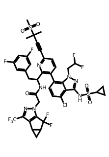 CC(C)(C#Cc1ccc(-c2ccc(Cl)c3c(NS(=O)(=O)C4CC4)nn(CC(F)F)c23)c(C(Cc2cc(F)cc(F)c2)NC(=O)Cn2nc(C(F)(F)F)c3c2C(F)(F)C2CC32)n1)S(C)(=O)=O